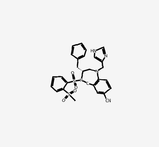 CS(=O)(=O)c1ccccc1S(=O)(=O)N1Cc2cc(C#N)ccc2N(Cc2c[nH]cn2)C[C@H]1Cc1ccccc1